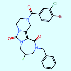 O=C(c1ccc(Br)c(Cl)c1)N1CCn2c(c3n(c2=O)CC(F)CN(Cc2ccccc2)C3=O)C1